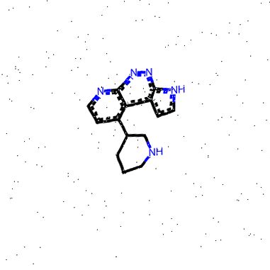 c1cc(C2CCCNC2)c2c(n1)nnc1[nH]ccc12